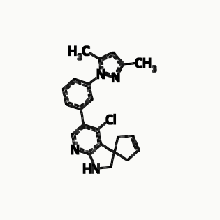 Cc1cc(C)n(-c2cccc(-c3cnc4c(c3Cl)C3(CC=CC3)CN4)c2)n1